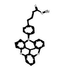 CC(C)(C)OC(=O)CCCc1ccc(N2c3cccc4c3C3c5c(cccc5Oc5cccc2c53)O4)cc1